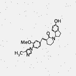 COc1cc(/C=C2\CCCN([C@H]3CCc4cc(O)ccc43)C2=O)ccc1-n1cnc(C)c1